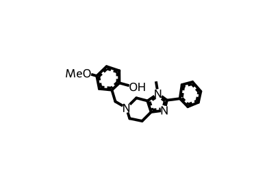 COc1ccc(O)c(CN2CCc3nc(-c4ccccc4)n(C)c3C2)c1